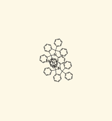 CN(C)c1c(N2C(c3ccccc3)(c3ccccc3)c3ccccc3C2(c2ccccc2)c2ccccc2)cccc1N1C(c2ccccc2)(c2ccccc2)c2ccccc2C1(c1ccccc1)c1ccccc1